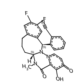 CN1C(=O)c2c(O)c(=O)ccn2N2[C@H](c3ccccc3C#N)c3cc(F)c(F)cc3CCC[C@@H]12